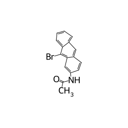 CC(=O)Nc1ccc2cc3ccccc3c(Br)c2c1